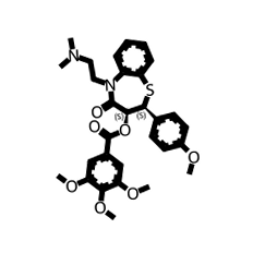 COc1ccc([C@@H]2Sc3ccccc3N(CCN(C)C)C(=O)[C@@H]2OC(=O)c2cc(OC)c(OC)c(OC)c2)cc1